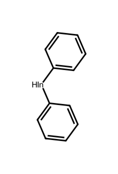 c1cc[c]([InH][c]2ccccc2)cc1